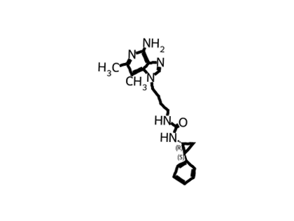 Cc1nc(N)c2ncn(CCCCNC(=O)N[C@@H]3C[C@H]3c3ccccc3)c2c1C